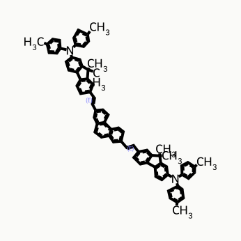 Cc1ccc(N(c2ccc(C)cc2)c2ccc3c(c2)C(C)(C)c2cc(/C=C/c4ccc5c(ccc6cc(/C=C/c7ccc8c(c7)C(C)(C)c7cc(N(c9ccc(C)cc9)c9ccc(C)cc9)ccc7-8)ccc65)c4)ccc2-3)cc1